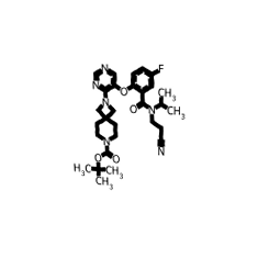 CC(C)N(CCC#N)C(=O)c1cc(F)ccc1Oc1cncnc1N1CC2(CCN(C(=O)OC(C)(C)C)CC2)C1